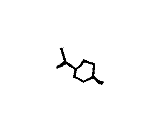 [CH2]C(C)C1CC[C](C)CC1